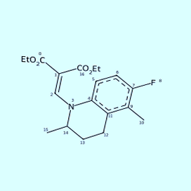 CCOC(=O)C(=CN1c2ccc(F)c(C)c2CCC1C)C(=O)OCC